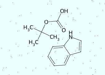 CC(C)(C)OC(=O)O.c1ccc2[nH]ccc2c1